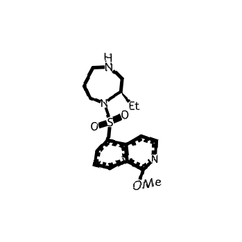 CC[C@@H]1CNCCCN1S(=O)(=O)c1cccc2c(OC)nccc12